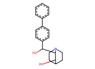 OC(c1ccc(-c2ccccc2)cc1)C1C(O)C2CCN1CC2